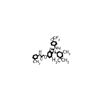 Cc1cccc(NC(=O)COc2ccc3c(c2)nc(Nc2ccc(OC(F)(F)F)cc2)n3[C@H]2C[C@H](C)CC(C)(C)C2)c1